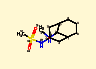 CNC1C2CCCC1CC(NS(C)(=O)=O)C2